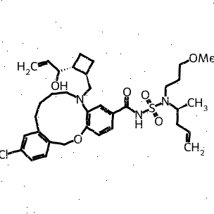 C=CC[C@H](C)N(CCCOC)S(=O)(=O)NC(=O)c1ccc2c(c1)N(C[C@@H]1CC[C@H]1C(O)C=C)CCCCc1cc(Cl)ccc1CO2